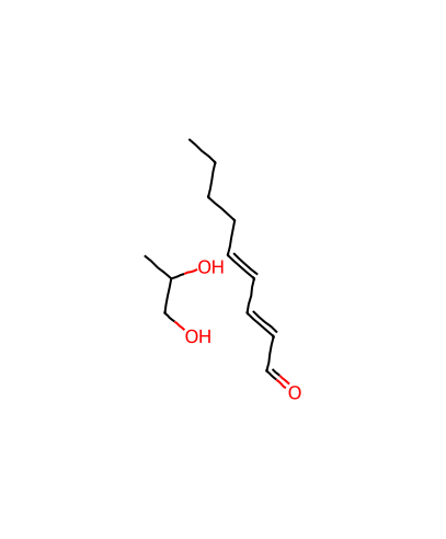 CC(O)CO.CCCCC=CC=CC=O